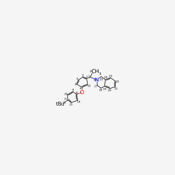 CC(c1cccc(Oc2ccc(C(C)(C)C)cc2)c1)N1CCc2ccccc2C1